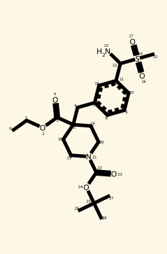 CCOC(=O)C1(Cc2cccc(C(N)S(C)(=O)=O)c2)CCN(C(=O)OC(C)(C)C)CC1